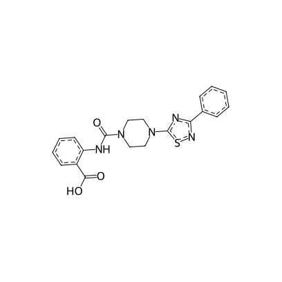 O=C(O)c1ccccc1NC(=O)N1CCN(c2nc(-c3ccccc3)ns2)CC1